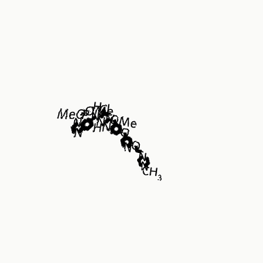 COc1cc(Oc2ccnc(OCCN3CCN(C)CC3)c2)ccc1Nc1ncc(Cl)c(Nc2ccc3nccnc3c2P(OC)OC)n1